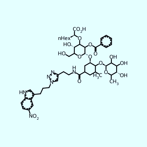 CCCCCC[C@H](OC1C(OC(=O)c2ccccc2)[C@H](O[C@@H]2CC(C(=O)NCCc3cn(CCCc4c[nH]c5ccc([N+](=O)[O-])cc45)nn3)CC(C)C2O[C@@H]2OC(C)[C@@H](O)C(O)C2O)OC(CO)[C@@H]1O)C(=O)O